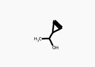 CC(O)C1C#C1